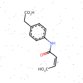 O=C(O)/C=C\C(=O)Nc1ccc(CC(=O)O)cc1